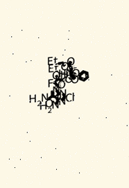 CCC(CC)COC(=O)[C@H](C)NP(=O)(OC[C@H]1O[C@@H](n2cc(C(N)=O)c3c(N)nc(Cl)nc32)C(F)C1O)Oc1ccccc1